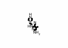 Cc1cc(N)nc(NCCN2CCNCC2)c1C#N